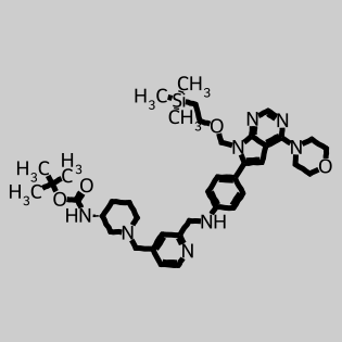 CC(C)(C)OC(=O)N[C@@H]1CCCN(Cc2ccnc(CNc3ccc(-c4cc5c(N6CCOCC6)ncnc5n4COCC[Si](C)(C)C)cc3)c2)C1